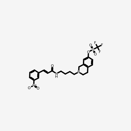 O=C(C=Cc1cccc([N+](=O)[O-])c1)NCCCCN1CCc2ccc(OS(=O)(=O)C(F)(F)F)cc2C1